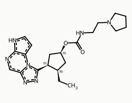 CC[C@@H]1C[C@H](OC(=O)NCCN2CCCC2)C[C@@H]1c1nnc2cnc3[nH]ccc3n12